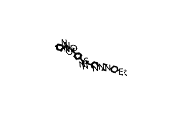 CC[C@H]1CC[C@H](N2CCN(c3ccc(-c4nnc(-c5ccc(C(=O)On6nnc7ccccc76)cc5)s4)cn3)CC2)CC1